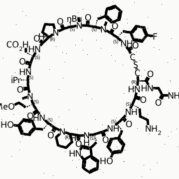 CCCC[C@H]1C(=O)N2CCC[C@@H]2C(=O)N[C@@H](CC(=O)O)C(=O)N[C@@H](C(C)C)C(=O)N(C)[C@@H](CCOC)C(=O)N[C@@H](Cc2ccc(O)cc2)C(=O)N2CCCC[C@@H]2C(=O)N[C@@H](Cc2c[nH]c3ccccc23)C(=O)N[C@@H](Cc2ccc(O)cc2)C(=O)N[C@@H](CCCN)C(=O)N[C@H](C(=O)NCC(N)=O)CSCC(=O)N[C@@H](Cc2ccc(F)cc2)C(=O)N(C)[C@@H](Cc2ccccc2)C(=O)N1C